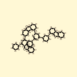 c1ccc(-c2nc(-c3cccc(-c4cccc5c4sc4ccccc45)c3)cc(-c3cccc4oc5ccc(-c6nc(-c7ccccc7)c7oc8ccccc8c7n6)cc5c34)n2)cc1